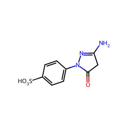 NC1=NN(c2ccc(S(=O)(=O)O)cc2)C(=O)C1